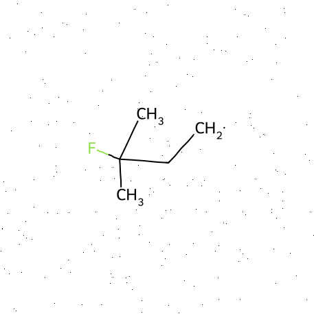 [CH2]CC(C)(C)F